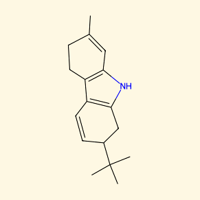 CC1=Cc2[nH]c3c(c2CC1)C=CC(C(C)(C)C)C3